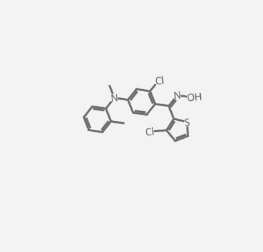 Cc1ccccc1N(C)c1ccc(C(=NO)c2sccc2Cl)c(Cl)c1